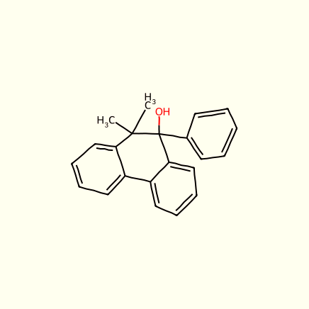 CC1(C)c2ccccc2-c2ccccc2C1(O)c1ccccc1